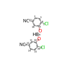 N#Cc1ccc(Cl)c(OBOc2cc(C#N)ccc2Cl)c1